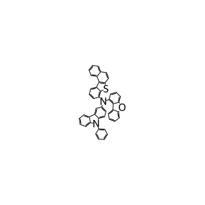 c1ccc(-n2c3ccccc3c3cc(N(c4cccc5c4sc4ccc6ccccc6c45)c4cccc5oc6ccccc6c45)ccc32)cc1